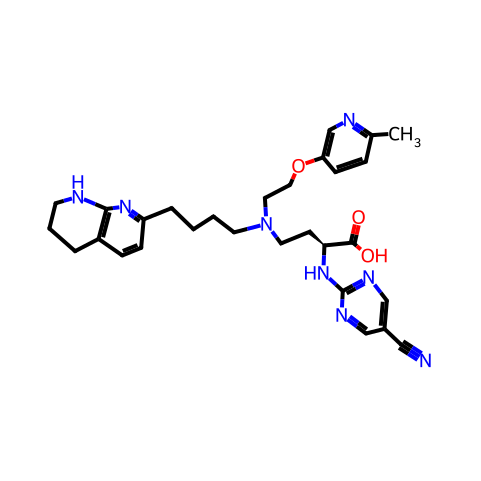 Cc1ccc(OCCN(CCCCc2ccc3c(n2)NCCC3)CC[C@H](Nc2ncc(C#N)cn2)C(=O)O)cn1